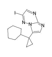 Ic1cnc2ncc(C3(C4CCCCC4)CC3)n2n1